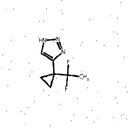 CC(F)(F)C1(c2c[nH]nn2)CC1